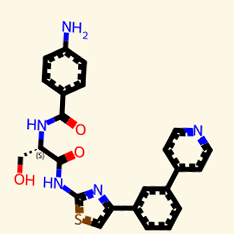 Nc1ccc(C(=O)N[C@@H](CO)C(=O)Nc2nc(-c3cccc(-c4ccncc4)c3)cs2)cc1